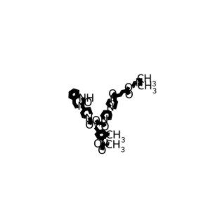 Cc1cc(C[C@@H](OC(=O)N2CCC(N3CCc4ccccc4NC3=O)CC2)C(=O)N2CCC(N3CCN(C(=O)CCC(=O)OCCN(C)C)CC3)CC2)cc2oc(=O)n(C)c12